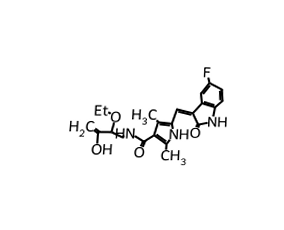 C=C(O)C(CNC(=O)c1c(C)[nH]c(/C=C2\C(=O)Nc3ccc(F)cc32)c1C)OCC